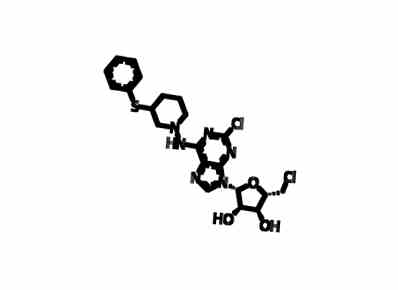 O[C@@H]1[C@H](O)[C@@H](CCl)O[C@H]1n1cnc2c(NN3CCCC(Sc4ccccc4)C3)nc(Cl)nc21